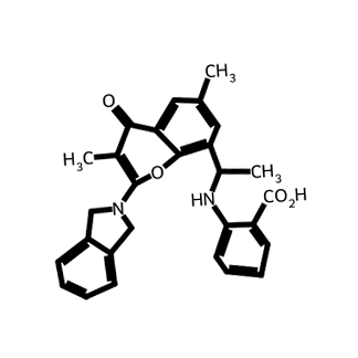 Cc1cc(C(C)Nc2ccccc2C(=O)O)c2oc(N3Cc4ccccc4C3)c(C)c(=O)c2c1